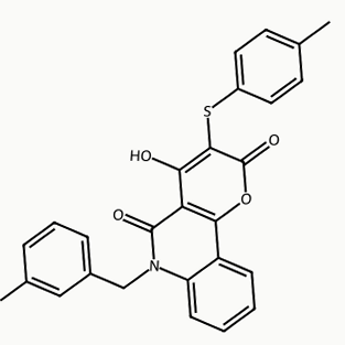 Cc1ccc(Sc2c(O)c3c(=O)n(Cc4cccc(F)c4)c4ccccc4c3oc2=O)cc1